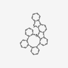 c1ccc2c(c1)sc1c2ccc2c3cccc4c5ccccc5c5ccccc5c5ccccc5n(c43)c21